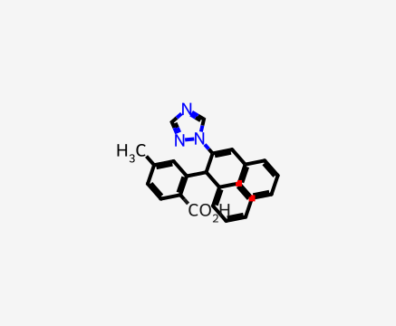 Cc1ccc(C(=O)O)c(C(/C(=C\c2ccccc2)n2cncn2)c2ccccc2)c1